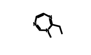 CCC1=NC=CN=CN1C